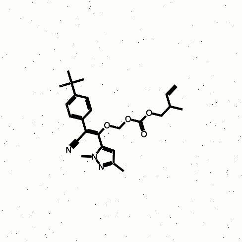 C=CC(C)COC(=O)OCO/C(=C(/C#N)c1ccc(C(C)(C)C)cc1)c1cc(C)nn1C